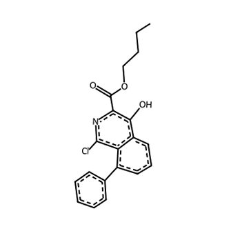 CCCCOC(=O)c1nc(Cl)c2c(-c3ccccc3)cccc2c1O